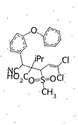 CC(C)C(C(=O)O)(C(C#N)c1cccc(Oc2ccccc2)c1)C(C=C(Cl)Cl)S(C)(=O)=O